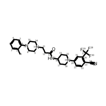 Cc1ccccc1N1CCN(CCC(=O)NC2CCN(c3ccc(C#N)c(C(F)(F)F)c3)CC2)CC1